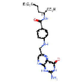 [CH2]COC(=O)CC[C@H](NC(=O)c1ccc(NCc2cnc3[nH]c(N)nc(=O)c3n2)cc1)C(=O)O